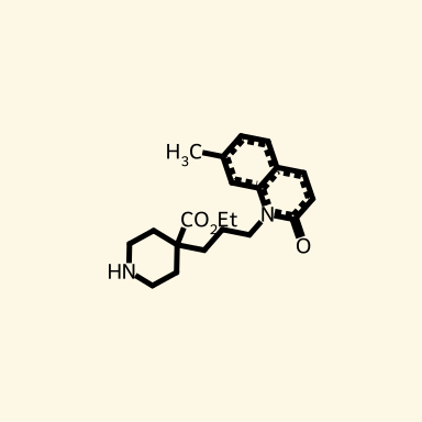 CCOC(=O)C1(CCCn2c(=O)ccc3ccc(C)cc32)CCNCC1